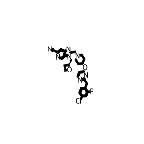 N#Cc1cc2nc(CN3CCC(Oc4ccnc(Cc5ccc(Cl)cc5F)n4)CC3)n(C[C@@H]3CCO3)c2cn1